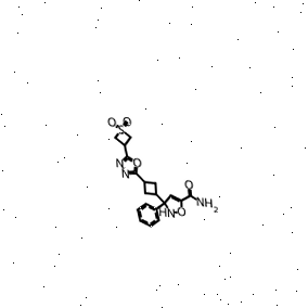 NC(=O)C1=CC(c2ccccc2)(C2CC(c3nnc(C4CS(=O)(=O)C4)o3)C2)NO1